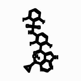 CN(c1ncnc2[nH]cc(C(=O)c3c(F)ccc(NS(=O)(=O)c4c(F)cccc4F)c3F)c12)C1CC1